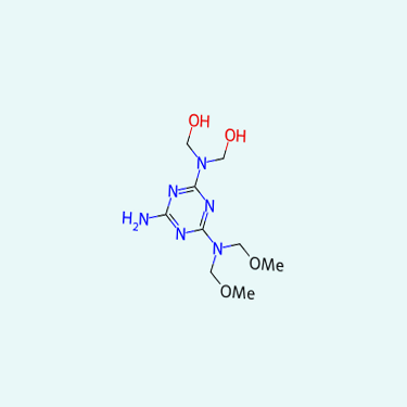 COCN(COC)c1nc(N)nc(N(CO)CO)n1